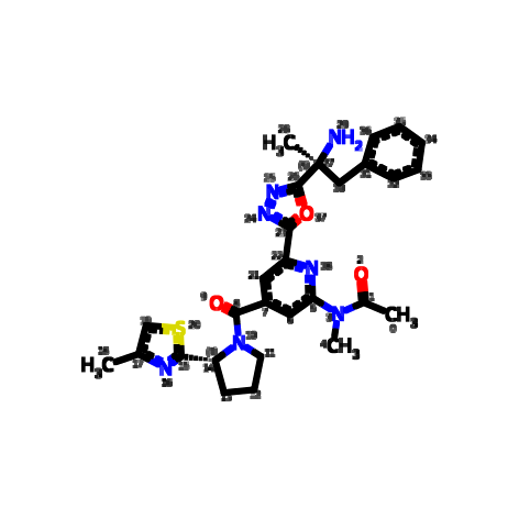 CC(=O)N(C)c1cc(C(=O)N2CCC[C@@H]2c2nc(C)cs2)cc(-c2nnc([C@@](C)(N)Cc3ccccc3)o2)n1